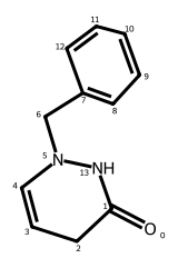 O=C1CC=CN(Cc2ccccc2)N1